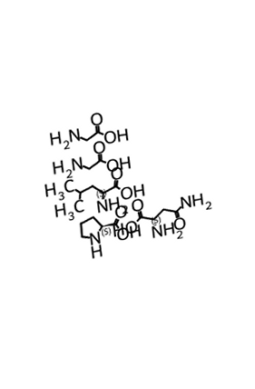 CC(C)C[C@H](N)C(=O)O.NC(=O)C[C@H](N)C(=O)O.NCC(=O)O.NCC(=O)O.O=C(O)[C@@H]1CCCN1